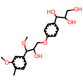 COc1cc(C(OC)C(O)COc2ccc(C(O)C(O)CO)cc2)ccc1C